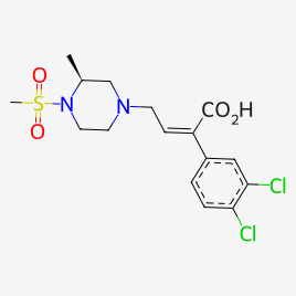 C[C@H]1CN(C/C=C(\C(=O)O)c2ccc(Cl)c(Cl)c2)CCN1S(C)(=O)=O